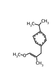 COC=C(C)Cc1ccc(C(C)C)cc1